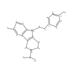 Cc1ccc2c(c1)c1c(n2CCc2ccc(C)nc2)CCN(C(C)C)C1